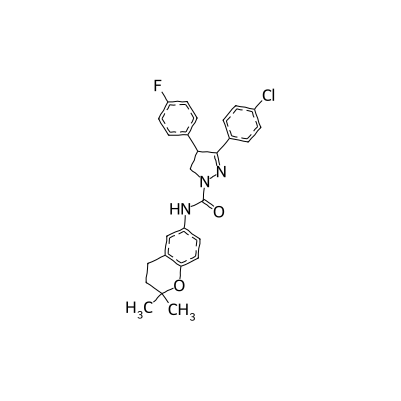 CC1(C)CCc2cc(NC(=O)N3CC(c4ccc(F)cc4)C(c4ccc(Cl)cc4)=N3)ccc2O1